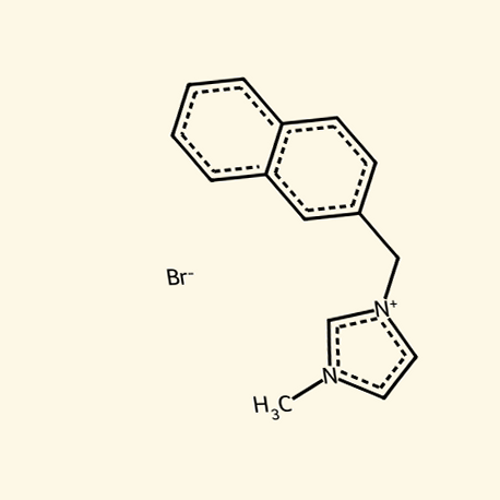 Cn1cc[n+](Cc2ccc3ccccc3c2)c1.[Br-]